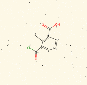 Cc1c(C(=O)O)cccc1C(=O)Cl